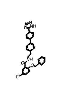 O=C(NCCc1ccc(-c2ccc(-c3nnn[nH]3)cc2)cc1)c1cc(Cl)ccc1OCc1ccccc1